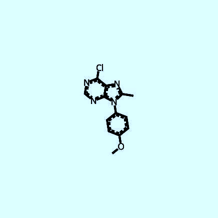 COc1ccc(-n2c(C)nc3c(Cl)ncnc32)cc1